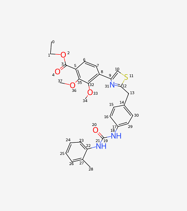 CCOC(=O)c1ccc(-c2csc(Cc3ccc(NC(=O)Nc4ccccc4C)cc3)n2)c(OC)c1OC